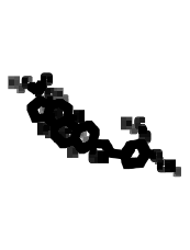 COc1ccc(CC[C@@]2(O)CC[C@@]3(C)[C@H](CC[C@@H]4[C@@H]3CC[C@]3(C)[C@@H](C(C)=O)CC[C@@H]43)C2)cc1OC